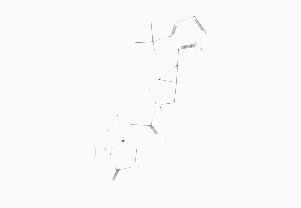 CC(C)(C)c1cccnc1C1C2CN(C(=O)C3CCC34COC(=O)N4)CC21